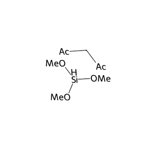 CC(=O)CC(C)=O.CO[SiH](OC)OC